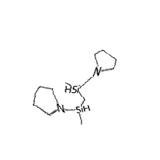 C[SiH](C[SiH](C)N1CCCC1)N1CCCC1